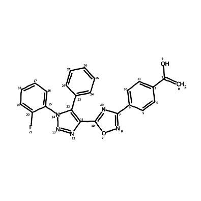 C=C(O)c1ccc(-c2noc(-c3nnn(-c4ccccc4F)c3-c3ccccc3)n2)cc1